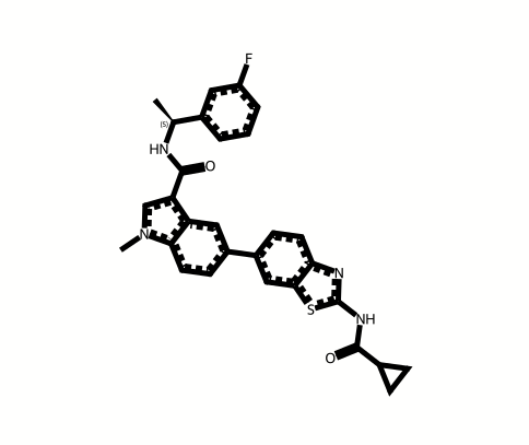 C[C@H](NC(=O)c1cn(C)c2ccc(-c3ccc4nc(NC(=O)C5CC5)sc4c3)cc12)c1cccc(F)c1